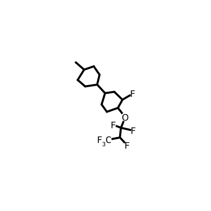 CC1CCC(C2CCC(OC(F)(F)C(F)C(F)(F)F)C(F)C2)CC1